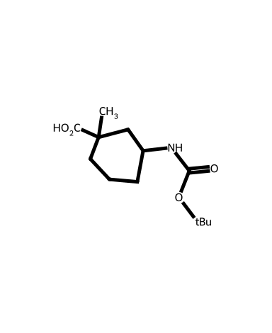 CC(C)(C)OC(=O)NC1CCCC(C)(C(=O)O)C1